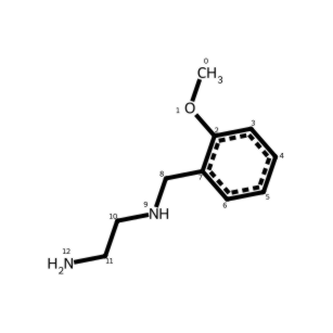 COc1ccccc1CNCCN